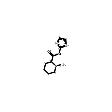 CC(C)(C)N1CCCCC1C(=O)Nc1nccs1